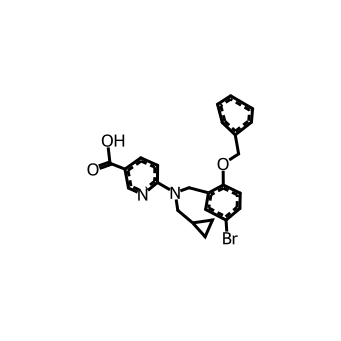 O=C(O)c1ccc(N(Cc2cc(Br)ccc2OCc2ccccc2)CC2CC2)nc1